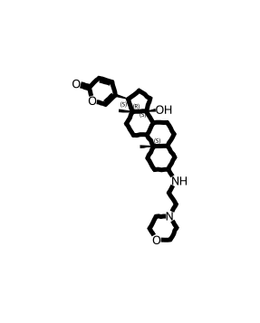 C[C@]12CCC(NCCN3CCOCC3)CC1CCC1C2CC[C@]2(C)[C@@H](c3ccc(=O)oc3)CC[C@]12O